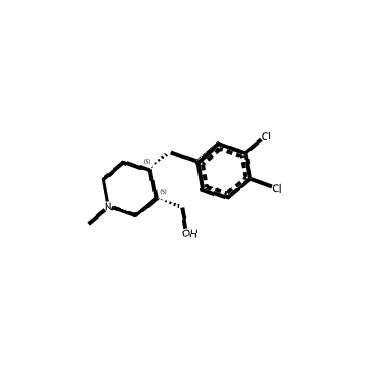 CN1CC[C@H](Cc2ccc(Cl)c(Cl)c2)[C@H](CO)C1